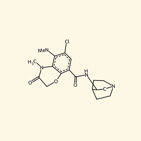 CNc1c(Cl)cc(C(=O)NC2CN3CCC2CC3)c2c1N(C)C(=O)CO2